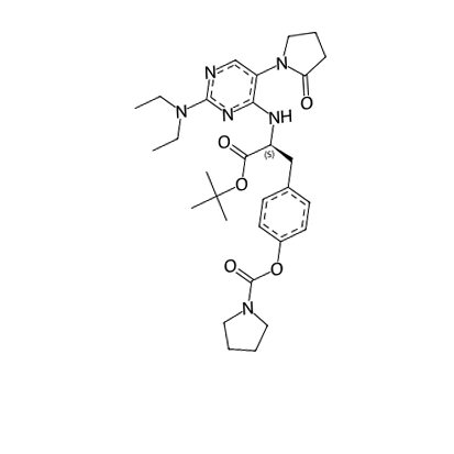 CCN(CC)c1ncc(N2CCCC2=O)c(N[C@@H](Cc2ccc(OC(=O)N3CCCC3)cc2)C(=O)OC(C)(C)C)n1